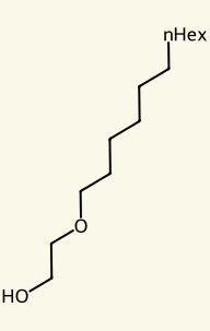 CCCCCCCCCCCCOCCO